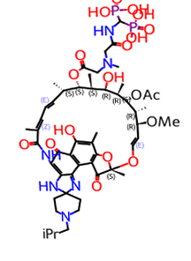 CO[C@H]1/C=C/O[C@@]2(C)Oc3c(C)c(O)c4c(c3C2=O)C2=NC3(CCN(CC(C)C)CC3)NC2=C(NC(=O)/C(C)=C\C=C\[C@H](C)[C@H](OC(=O)CN(C)CC(=O)NC(P(=O)(O)O)P(=O)(O)O)[C@@H](C)[C@@H](O)[C@@H](C)[C@H](OC(C)=O)[C@@H]1C)C4=O